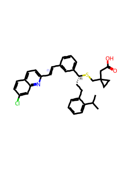 CC(C)c1ccccc1CC[C@@H](SCC1(CC(=O)O)CC1)c1cccc(/C=C/c2ccc3ccc(Cl)cc3n2)c1